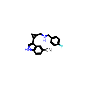 N#Cc1ccc2[nH]cc(C3CC3CNCc3ccc(F)cc3)c2c1